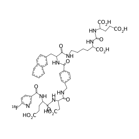 O=C(O)CCC(NC(=O)NC(CCCCNC(=O)C(Cc1ccc2ccccc2c1)NC(=O)c1ccc(CNC(=O)C(CC(=O)O)NC(=O)C(CCC(=O)O)NC(=O)c2ccc([18F])nc2)cc1)C(=O)O)C(=O)O